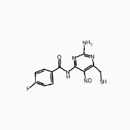 Nc1nc(CS)c(N=O)c(NC(=O)c2ccc(F)cc2)n1